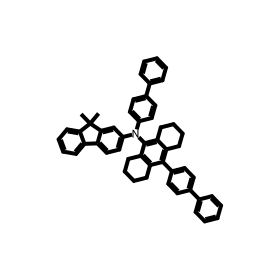 CC1(C)c2ccccc2-c2ccc(N(c3ccc(-c4ccccc4)cc3)c3c4c(c(-c5ccc(-c6ccccc6)cc5)c5c3CCCC5)CCCC4)cc21